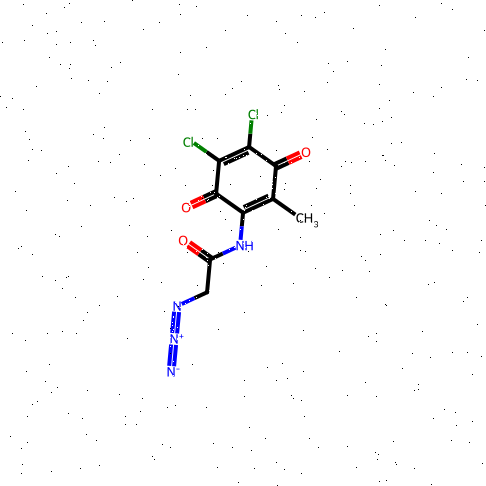 CC1=C(NC(=O)CN=[N+]=[N-])C(=O)C(Cl)=C(Cl)C1=O